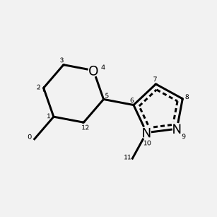 CC1[CH]COC(c2ccnn2C)C1